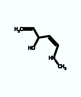 C=CC(O)/C=C\NC